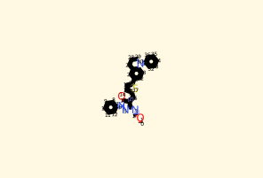 CO/C=N/C1=NN(c2ccccc2)C(=O)/C1=C\c1ccc(-c2ccc3c(c2)CCCN3c2ccccc2)s1